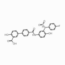 O=C(Nc1ccc(O)c(N(c2ccc(F)cc2)[SH](=O)=O)c1)c1ccc(-c2ccc(O)c(C(=O)O)c2)cc1